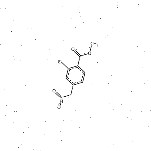 COC(=O)c1ccc(C[SH](=O)=O)cc1Cl